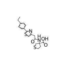 CCc1ccc(-c2nc(CC(=O)NC3(C(=O)O)CCSC3)cs2)cc1